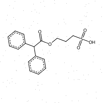 O=C(OCCCS(=O)(=O)O)C(c1ccccc1)c1ccccc1